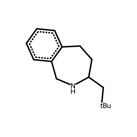 CC(C)(C)CC1CCc2ccccc2CN1